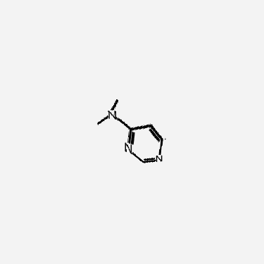 CN(C)c1c[c]ncn1